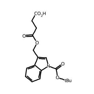 CC(C)(C)OC(=O)n1cc(COC(=O)CCC(=O)O)c2ccccc21